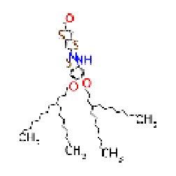 CCCCCCCCC(CCCCCCCC)CCCOc1cc2c(cc1OCCCC(CCCCCCCC)CCCCCCCC)SN(c1cc3sc(C=O)cc3s1)N2